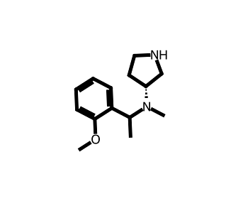 COc1ccccc1C(C)N(C)[C@@H]1CCNC1